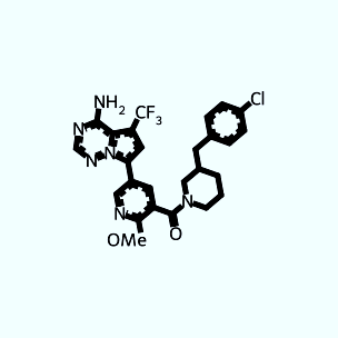 COc1ncc(-c2cc(C(F)(F)F)c3c(N)ncnn23)cc1C(=O)N1CCCC(Cc2ccc(Cl)cc2)C1